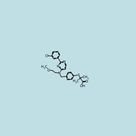 COCCN(Cc1ccc(SC(C)(C)C(=O)O)cc1)c1ccnc(-c2cccc(Cl)c2)n1